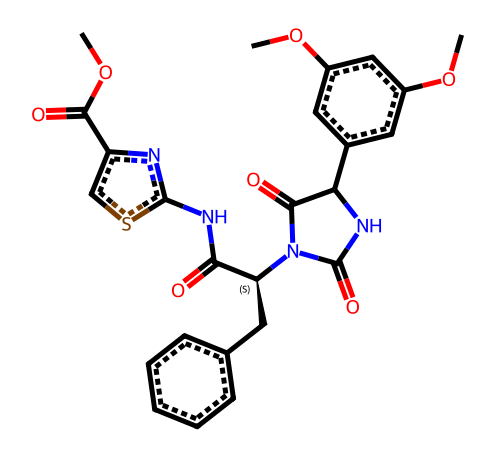 COC(=O)c1csc(NC(=O)[C@H](Cc2ccccc2)N2C(=O)NC(c3cc(OC)cc(OC)c3)C2=O)n1